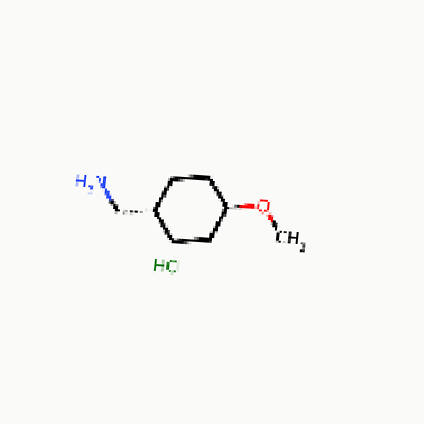 CO[C@H]1CC[C@H](CN)CC1.Cl